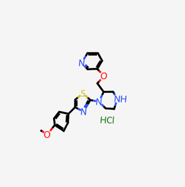 COc1ccc(-c2csc(N3CCNCC3COc3cccnc3)n2)cc1.Cl